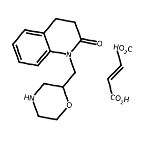 O=C(O)C=CC(=O)O.O=C1CCc2ccccc2N1CC1CNCCO1